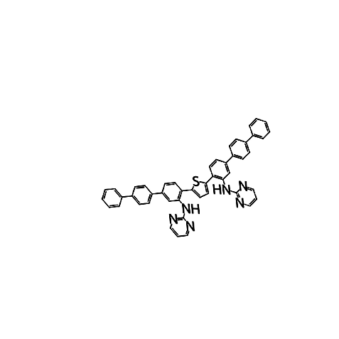 c1ccc(-c2ccc(-c3ccc(-c4ccc(-c5ccc(-c6ccc(-c7ccccc7)cc6)cc5Nc5ncccn5)s4)c(Nc4ncccn4)c3)cc2)cc1